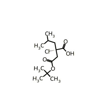 CC(C)C[C@](Cl)(CC(=O)OC(C)(C)C)C(=O)O